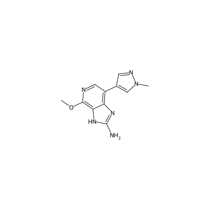 COc1ncc(-c2cnn(C)c2)c2nc(N)[nH]c12